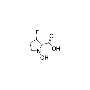 O=C(O)C1C(F)CCN1O